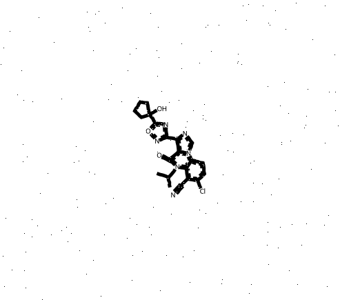 CC(C)n1c(=O)c2c(-c3noc(C4(O)CCCC4)n3)ncn2c2ccc(Cl)c(C#N)c21